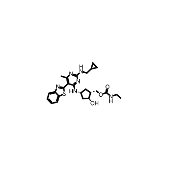 CCNC(=O)OC[C@H]1C[C@@H](Nc2nc(NCC3CC3)nc(C)c2-c2nc3ccccc3s2)C[C@@H]1O